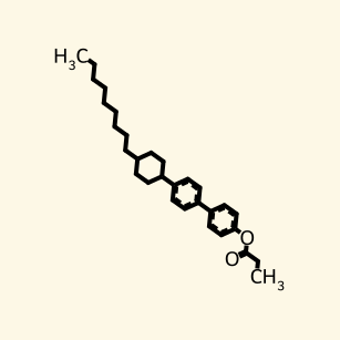 CCCCCCCCCC1CCC(c2ccc(-c3ccc(OC(=O)CC)cc3)cc2)CC1